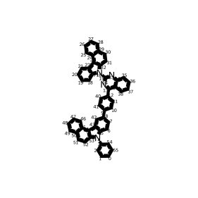 c1ccc(-n2c3ccc(-c4ccc(-c5nc(-n6c7ccccc7c7c8ccccc8ccc76)nc6ccccc56)cc4)cc3c3c4ccccc4ccc32)cc1